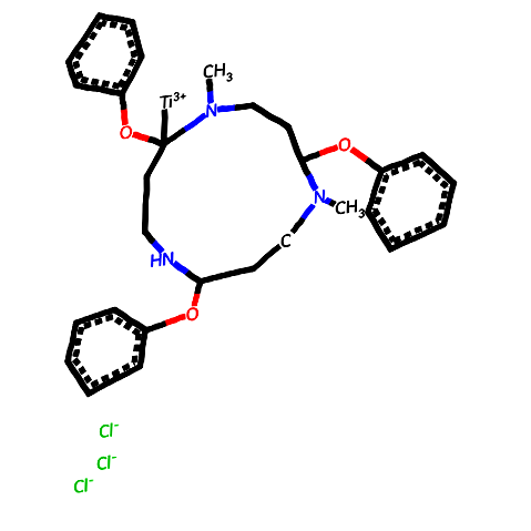 CN1CCC(Oc2ccccc2)NCC[C]([Ti+3])(Oc2ccccc2)N(C)CCC1Oc1ccccc1.[Cl-].[Cl-].[Cl-]